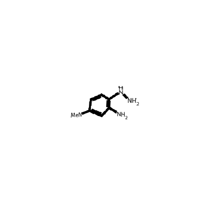 CNc1ccc(NN)c(N)c1